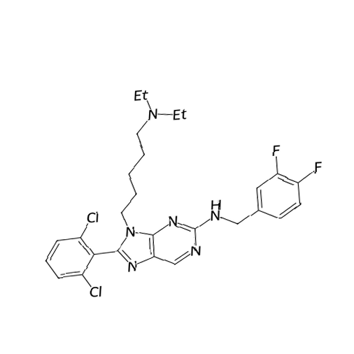 CCN(CC)CCCCCn1c(-c2c(Cl)cccc2Cl)nc2cnc(NCc3ccc(F)c(F)c3)nc21